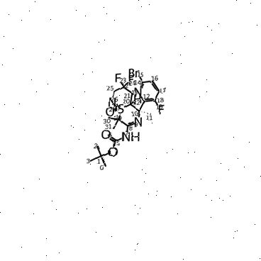 CC(C)(C)OC(=O)NC1=N[C@](C)(c2nc(Br)ccc2F)[C@H]2CC(F)(F)CN=[S@]2(=O)C1(C)C